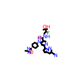 Cc1noc([C@H]2CC[C@H](Nc3cc(-c4ccc5cc(C#N)cnn45)ncc3C(=O)NC[C@@H](F)C(C)(C)O)CC2)n1